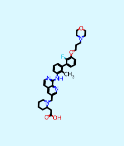 Cc1c(Nc2nccc3cc(CN4CCCCC4CC(=O)O)cnc23)cccc1-c1cccc(OCCCN2CCOCC2)c1F